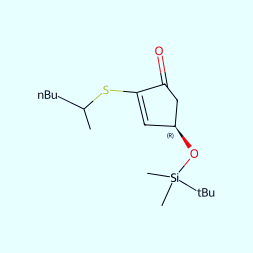 CCCCC(C)SC1=C[C@H](O[Si](C)(C)C(C)(C)C)CC1=O